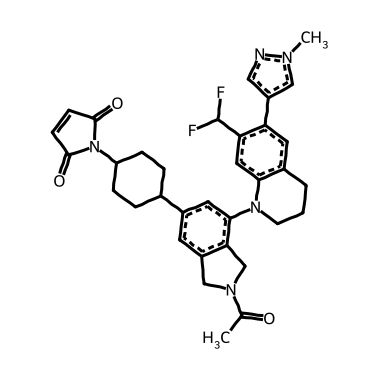 CC(=O)N1Cc2cc(C3CCC(N4C(=O)C=CC4=O)CC3)cc(N3CCCc4cc(-c5cnn(C)c5)c(C(F)F)cc43)c2C1